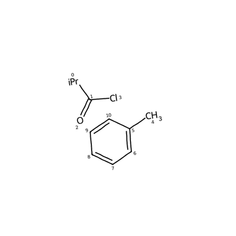 CC(C)C(=O)Cl.Cc1ccccc1